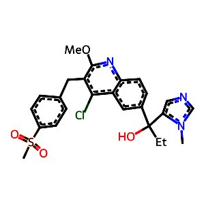 CCC(O)(c1ccc2nc(OC)c(Cc3ccc(S(C)(=O)=O)cc3)c(Cl)c2c1)c1cncn1C